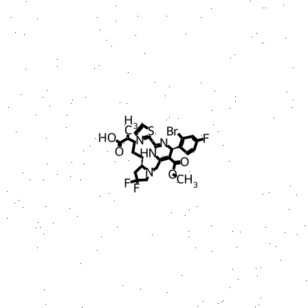 COC(=O)C1=C(CN2CC(F)(F)C[C@H]2CCCC(C)C(=O)O)NC(c2nccs2)=N[C@H]1c1ccc(F)cc1Br